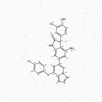 C[C@@]1(c2ccc(O)c(Cl)c2)C(=O)Nc2nc(-c3cn4ncnc4c(Cc4ccc(F)cc4)n3)nc(N)c21